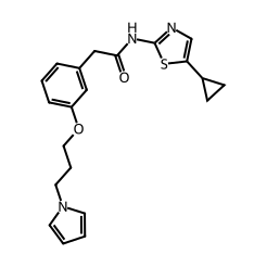 O=C(Cc1cccc(OCCCn2cccc2)c1)Nc1ncc(C2CC2)s1